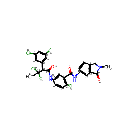 CN1Cc2ccc(NC(=O)c3cc(NC(=O)C(c4cc(Cl)cc(Cl)c4)C(C)(Cl)Cl)ccc3Cl)cc2C1=O